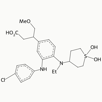 CCN(c1ccc(C(COC)CC(=O)O)cc1Nc1ccc(Cl)cc1)C1CCS(O)(O)CC1